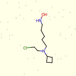 ONCCCCCN(CCCl)C1CCC1